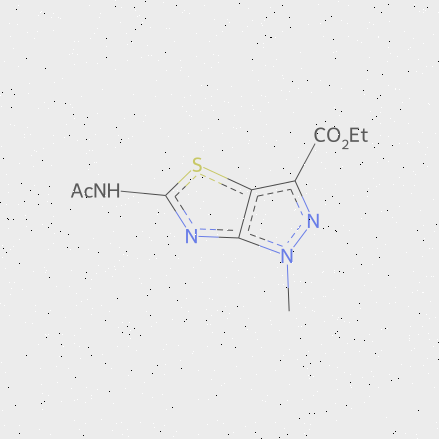 CCOC(=O)c1nn(C)c2nc(NC(C)=O)sc12